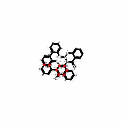 O=C1c2ccccc2OP(Oc2ccccc2-c2ccccc2OP2Oc3ccccc3C(=O)N2c2ccccc2)N1c1ccccc1